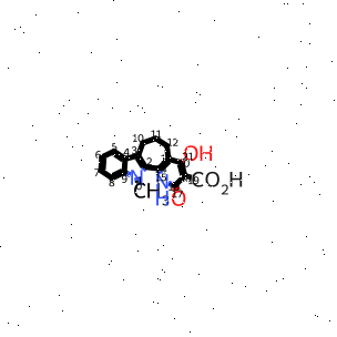 Cn1c2c(c3ccccc31)CCCc1c-2[nH]c(=O)c(C(=O)O)c1O